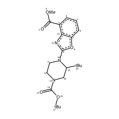 COC(=O)c1cccc2oc(N3CCN(C(=O)OC(C)(C)C)CC3C(C)(C)C)nc12